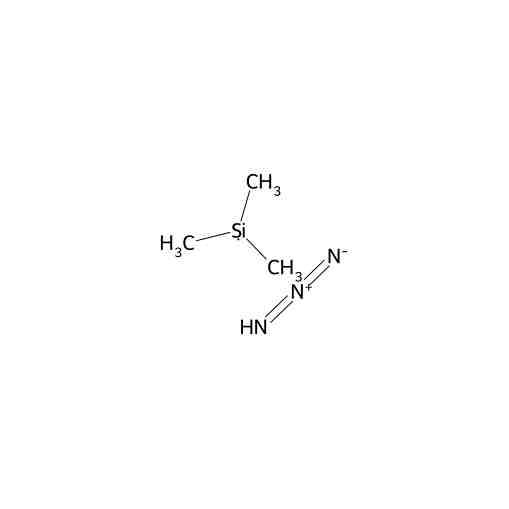 C[Si](C)C.[N-]=[N+]=N